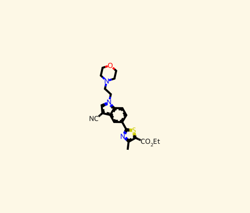 CCOC(=O)c1sc(-c2ccc3c(c2)c(C#N)cn3CCN2CCOCC2)nc1C